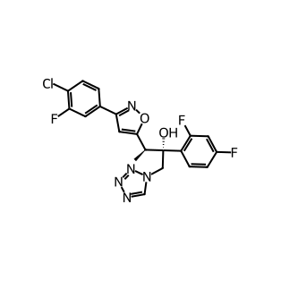 C[C@@H](c1cc(-c2ccc(Cl)c(F)c2)no1)[C@](O)(Cn1cnnn1)c1ccc(F)cc1F